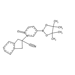 CC1(C)OB(c2ccc(=O)n(C3(C#N)Cc4ccccc4C3)c2)OC1(C)C